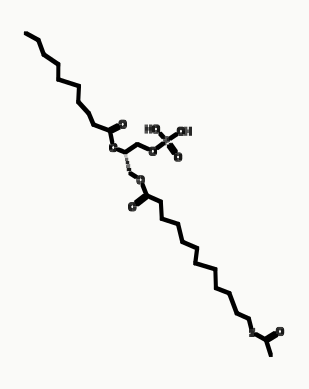 CCCCCCCCCC(=O)O[C@@H](COC(=O)CCCCCCCCCCCSC(C)=O)COP(=O)(O)O